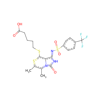 Cc1sc(SCCCCC(=O)O)c2c(=NS(=O)(=O)c3ccc(C(F)(F)F)cc3)[nH]c(=O)n-2c1C